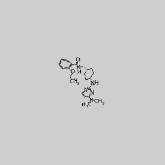 CCOc1ccccc1C(=O)NC[C@H]1CC[C@@H](Nc2nccc(N(C)C)n2)CC1